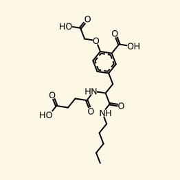 CCCCCNC(=O)C(Cc1ccc(OCC(=O)O)c(C(=O)O)c1)NC(=O)CCC(=O)O